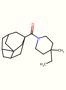 CCC1(C)CCN(C(=O)C23CC4CC5CC(C2)C5(C4)C3)CC1